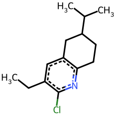 CCc1cc2c(nc1Cl)CCC(C(C)C)C2